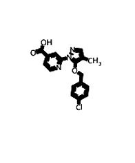 Cc1cnn(-c2cc(C(=O)O)ccn2)c1OCc1ccc(Cl)cc1